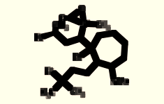 CC[C@@H](O)CC(C1(CC)CCCCC(NC)C1CCC(C)(C)CC)[N+]1(C)O[C@@H]1C